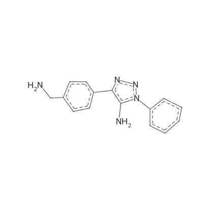 NCc1ccc(-c2nnn(-c3ccccc3)c2N)cc1